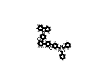 c1ccc(-c2nc(-c3ccccc3)nc(-c3ccc4c(c3)oc3cc(-c5cccc6oc7cc(-n8c9ccccc9c9ccccc98)ccc7c56)ccc34)n2)cc1